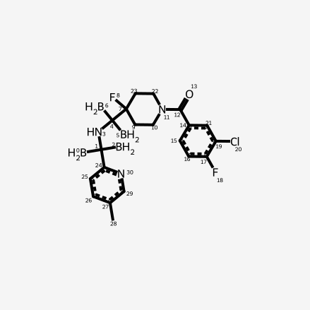 BC(B)(NC(B)(B)C1(F)CCN(C(=O)c2ccc(F)c(Cl)c2)CC1)c1ccc(C)cn1